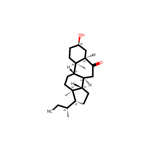 C[C@H](CC#N)[C@H]1CC[C@H]2[C@@H]3CC(=O)[C@@H]4C[C@H](O)CC[C@]4(C)[C@H]3CC[C@]12C